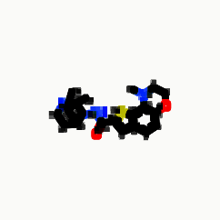 CN1CCOc2ccc3cc(C(=O)NC4C5CCN(CC5)C4(C)C)sc3c21